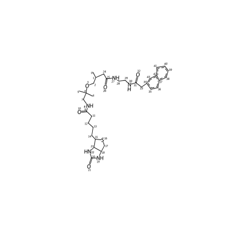 CC(COC(C)(C)CNC(=O)CCCCC1SCC2NC(=O)NC21)CC(=O)NCCNC(=O)Cc1ccc2ccccc2c1